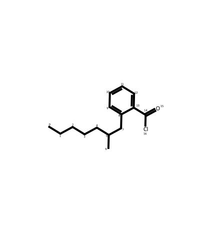 CCCCCC(C)Cc1ccccc1C(=O)Cl